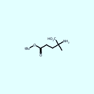 CC(C)(C)OC(=O)CCC(C)(N)C(=O)O